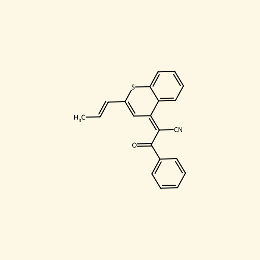 C/C=C/C1=CC(=C(/C#N)C(=O)c2ccccc2)/c2ccccc2S1